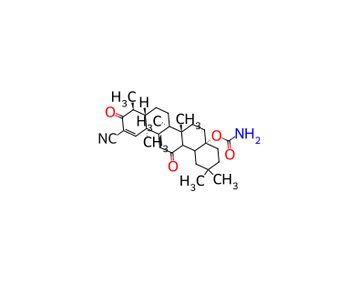 C[C@@H]1C(=O)C(C#N)=C[C@]2(C)C3=CC(=O)C4C5CC(C)(C)CC[C@]5(OC(N)=O)CC[C@@]4(C)[C@]3(C)CC[C@@H]12